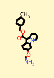 Cc1ccc(COC(=O)c2c3ccc(OCN)cc3n3ccccc23)cc1